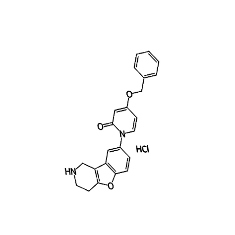 Cl.O=c1cc(OCc2ccccc2)ccn1-c1ccc2oc3c(c2c1)CNCC3